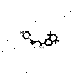 CC1(C)CCC(C)(C)c2cc(C(=N)CC3C=C3N3CCNCC3)ccc21